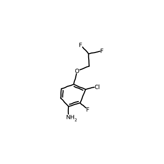 Nc1ccc(OCC(F)F)c(Cl)c1F